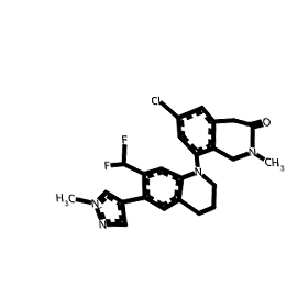 CN1Cc2c(cc(Cl)cc2N2CCCc3cc(-c4cnn(C)c4)c(C(F)F)cc32)CC1=O